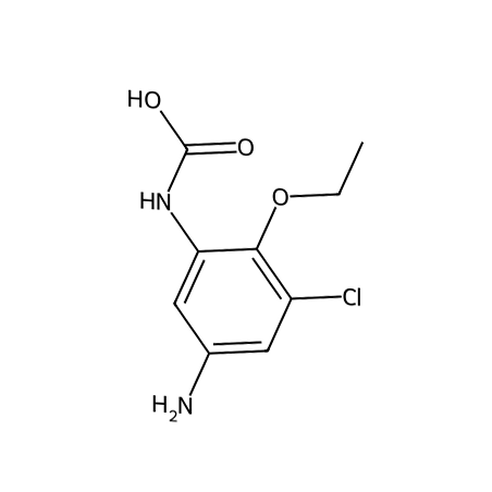 CCOc1c(Cl)cc(N)cc1NC(=O)O